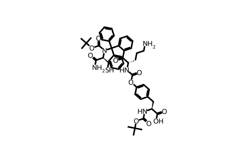 CC(C)(C)OC(=O)N[C@@H](Cc1ccc(OC(=O)N[C@@H](CCCN)C(=O)c2ccccc2C(c2ccccc2)(c2ccccc2)N(C(=O)OC(C)(C)C)[C@@H](CS)C(N)=O)cc1)C(=O)O